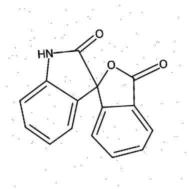 O=C1OC2(C(=O)Nc3ccccc32)c2ccccc21